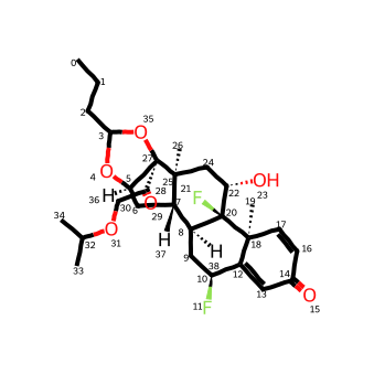 CCCC1O[C@@H]2C[C@H]3[C@@H]4C[C@H](F)C5=CC(=O)C=C[C@]5(C)[C@@]4(F)[C@@H](O)C[C@]3(C)[C@]2(C(=O)COC(C)C)O1